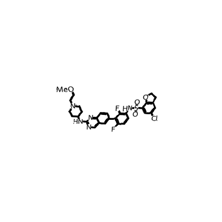 COCCN1CCC(Nc2ncc3cc(-c4c(F)ccc(NS(=O)(=O)c5cc(Cl)cc6c5OCC6)c4F)ccc3n2)CC1